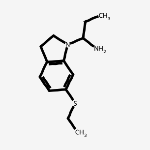 C[CH]C(N)N1CCc2ccc(SCC)cc21